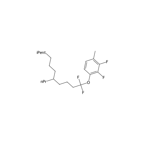 CCCC(C)CCCC(CCC)CCCC(F)(F)Oc1ccc(C)c(F)c1F